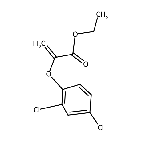 C=C(Oc1ccc(Cl)cc1Cl)C(=O)OCC